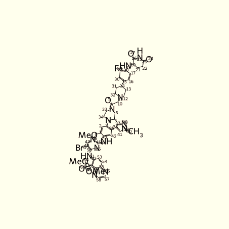 COc1cc(N2CCN(C(=O)CN3CCC(c4ccc(NC5CCC(=O)NC5=O)c(F)c4)CC3)CC2)c(-c2cnn(C)c2)cc1Nc1ncc(Br)c(Nc2ccc3nccnc3c2P(=O)(OC)OC)n1